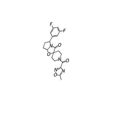 Cc1nc(C(=O)N2CCC3(CC2)OC2CCC(c4cc(F)cc(F)c4)N2C3=O)no1